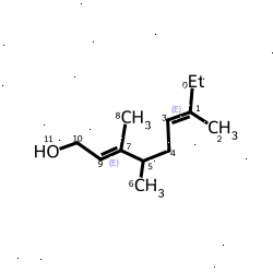 CC/C(C)=C/CC(C)/C(C)=C/CO